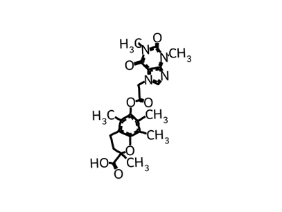 Cc1c(C)c2c(c(C)c1OC(=O)Cn1cnc3c1c(=O)n(C)c(=O)n3C)CCC(C)(C(=O)O)O2